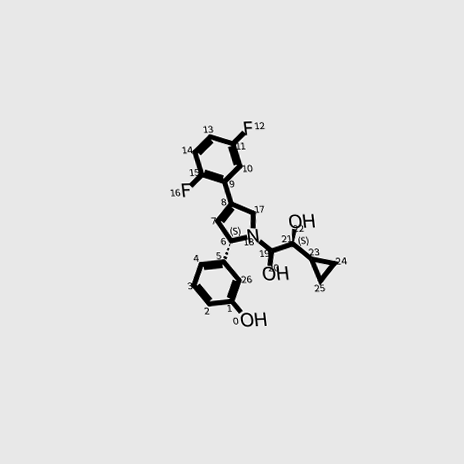 Oc1cccc([C@@H]2C=C(c3cc(F)ccc3F)CN2C(O)[C@@H](O)C2CC2)c1